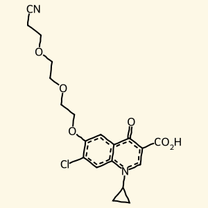 N#CCCOCCOCCOc1cc2c(=O)c(C(=O)O)cn(C3CC3)c2cc1Cl